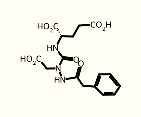 O=C(O)CC[C@H](NC(=O)N(CC(=O)O)NC(=O)Cc1ccccc1)C(=O)O